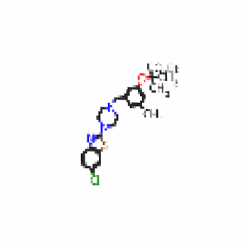 CCOC(=O)C(C)(C)Oc1cc(C)cc(CN2CCN(c3nc4ccc(Cl)cc4s3)CC2)c1